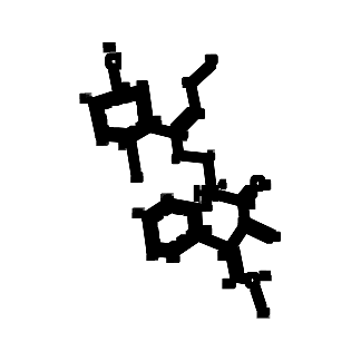 C=C(C(=O)NCC/C(=C/CC)c1cc(Cl)ccc1C)/C(=C\OC)c1ccccc1